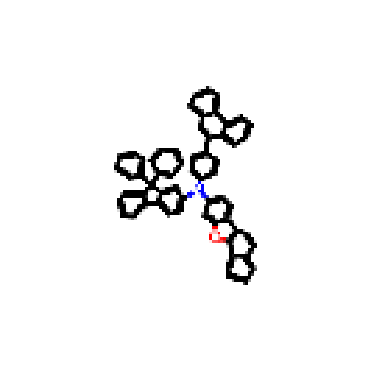 c1ccc(C2(c3ccccc3)c3ccccc3-c3ccc(N(c4ccc(-c5cc6ccccc6c6ccccc56)cc4)c4ccc5c(c4)oc4c6ccccc6ccc54)cc32)cc1